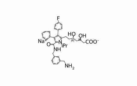 CC(C)n1c(CC[C@@H](O)C[C@@H](O)CC(=O)[O-])c(-c2ccc(F)cc2)c(-c2ccccc2)c1C(=O)NCc1cccc(CN)c1.[Na+]